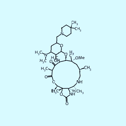 CC[C@H]1OC(=O)C(C)C(=O)[C@H](C)[C@@H](OC2OC(CN3CCC(C)(C)CC3)CC(N(C)C)C2O)[C@](C)(OC)C[C@@H](C)CN[C@H](C)[C@H]2NC(=O)O[C@@]21C